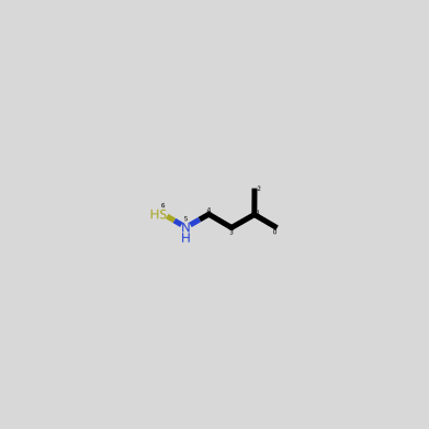 CC(C)CCNS